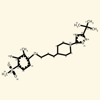 Cc1c(OCCCC2CCN(c3nc(C(C)(C)C)no3)CC2)ccc(S(C)(=O)=O)c1F